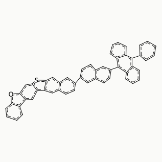 c1ccc(-c2c3ccccc3c(-c3ccc4cc(-c5ccc6cc7c(cc6c5)sc5cc6oc8ccccc8c6cc57)ccc4c3)c3ccccc23)cc1